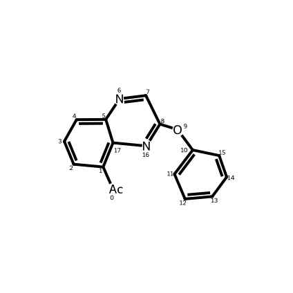 CC(=O)c1cccc2ncc(Oc3ccccc3)nc12